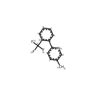 Cc1ccc(-c2ccccc2C(F)(F)F)nc1